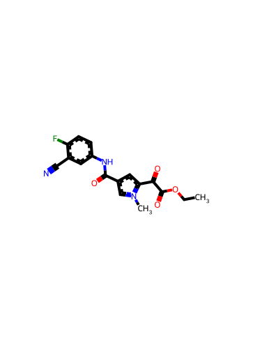 CCOC(=O)C(=O)c1cc(C(=O)Nc2ccc(F)c(C#N)c2)cn1C